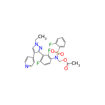 CCn1cc(-c2ccncc2)c(-c2c(F)ccc(N(COC(C)=O)S(=O)(=O)c3ccccc3F)c2F)n1